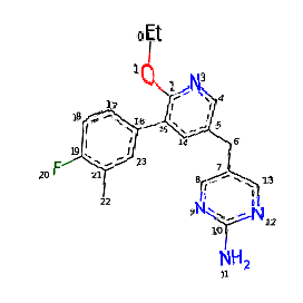 CCOc1ncc(Cc2cnc(N)nc2)cc1-c1ccc(F)c(C)c1